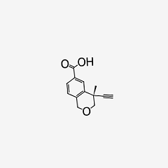 C#C[C@]1(C)COCc2ccc(C(=O)O)cc21